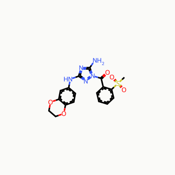 CS(=O)(=O)c1ccccc1C(=O)n1nc(Nc2ccc3c(c2)OCCO3)nc1N